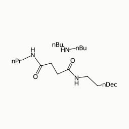 CCCCCCCCCCCCNC(=O)CCC(=O)NCCC.CCCCNCCCC